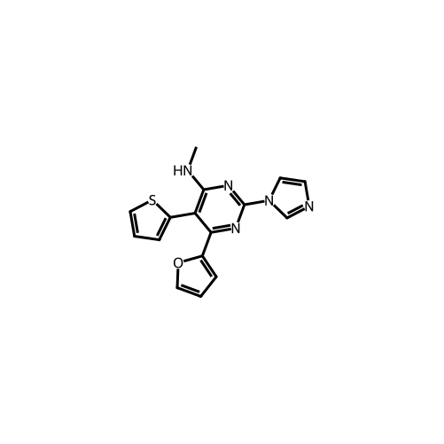 CNc1nc(-n2ccnc2)nc(-c2ccco2)c1-c1cccs1